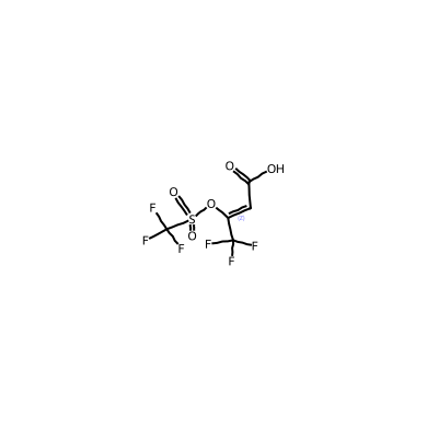 O=C(O)/C=C(\OS(=O)(=O)C(F)(F)F)C(F)(F)F